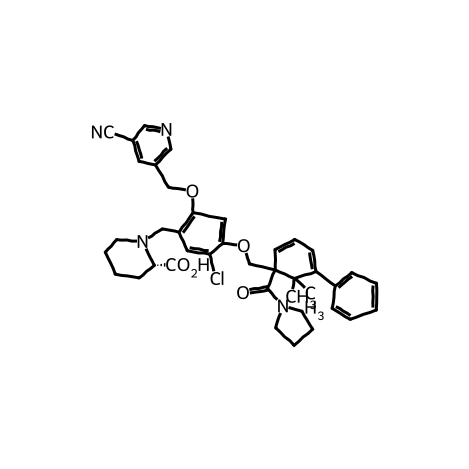 CC1(C)C(c2ccccc2)=CC=CC1(COc1cc(OCc2cncc(C#N)c2)c(CN2CCCC[C@H]2C(=O)O)cc1Cl)C(=O)N1CCCC1